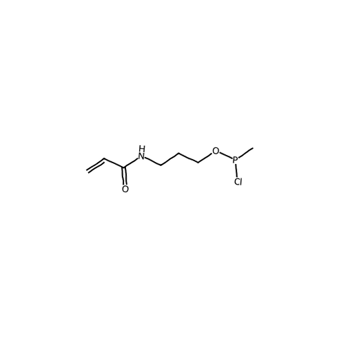 C=CC(=O)NCCCOP(C)Cl